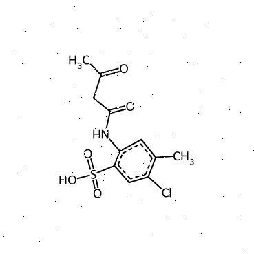 CC(=O)CC(=O)Nc1cc(C)c(Cl)cc1S(=O)(=O)O